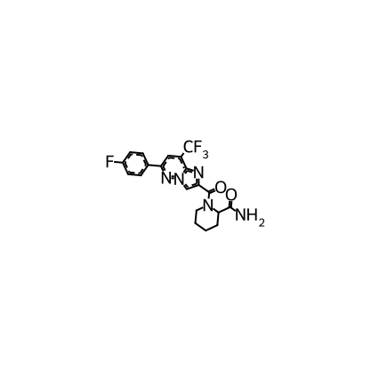 NC(=O)C1CCCCN1C(=O)c1cn2nc(-c3ccc(F)cc3)cc(C(F)(F)F)c2n1